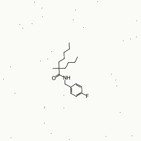 CCCCCC(C)(CCCC)C(=O)NCc1ccc(F)cc1